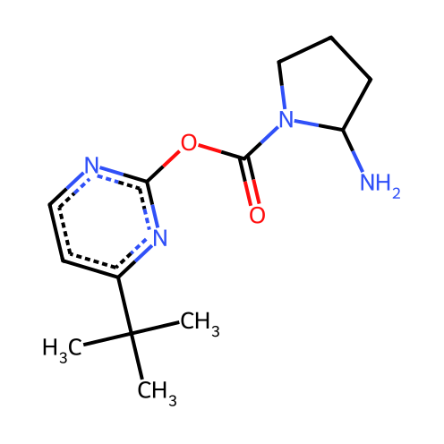 CC(C)(C)c1ccnc(OC(=O)N2CCCC2N)n1